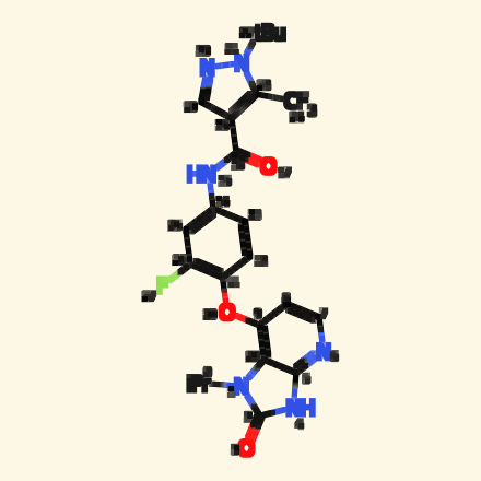 CC(C)n1c(=O)[nH]c2nccc(Oc3ccc(NC(=O)c4cnn(C(C)(C)C)c4C(F)(F)F)cc3F)c21